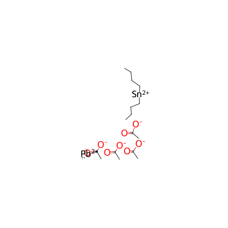 CC(=O)[O-].CC(=O)[O-].CC(=O)[O-].CC(=O)[O-].CCC[CH2][Sn+2][CH2]CCC.[Pb+2]